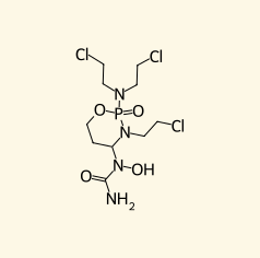 NC(=O)N(O)C1CCOP(=O)(N(CCCl)CCCl)N1CCCl